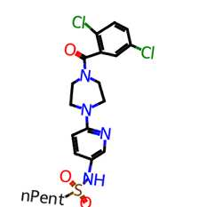 CCCCCS(=O)(=O)Nc1ccc(N2CCN(C(=O)c3cc(Cl)ccc3Cl)CC2)nc1